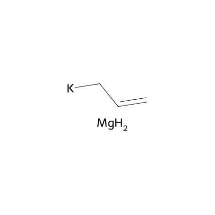 C=C[CH2][K].[MgH2]